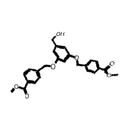 COC(=O)c1ccc(COc2cc(CO)cc(OCc3ccc(C(=O)OC)cc3)c2)cc1